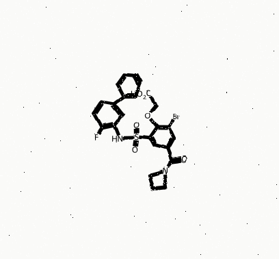 O=C(O)COc1c(Br)cc(C(=O)N2CCC2)cc1S(=O)(=O)Nc1cc(-c2cc#ccc2)ccc1F